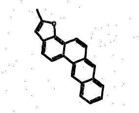 Cc1cc2ccc3c4cc5ccccc5cc4ccc3c2o1